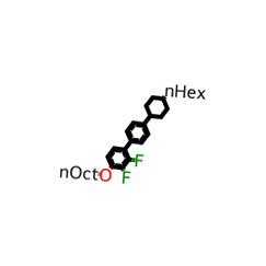 CCCCCCCCOc1ccc(-c2ccc(C3CCC(CCCCCC)CC3)cc2)c(F)c1F